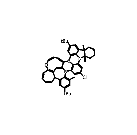 Cc1cc(C(C)(C)C)cc2c1N1c3cc4c(occcc3B3c5cc(C(C)(C)C)cc6c5N(c5cc(Cl)cc1c53)C1(C)CCCCC61C)C=CC=CC42